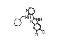 Clc1cc2nc(-c3cccnc3NCC3CCCCC3)[nH]c2cc1Cl